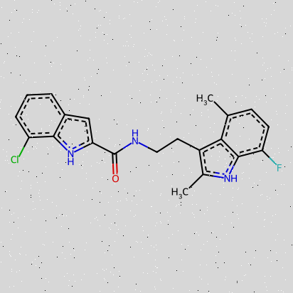 Cc1[nH]c2c(F)ccc(C)c2c1CCNC(=O)c1cc2cccc(Cl)c2[nH]1